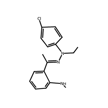 CCN(/N=C(\C)c1ccccc1NC)c1ccc(Cl)cc1